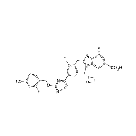 N#Cc1ccc(COc2nccc(-c3ccc(Cc4nc5c(F)cc(C(=O)O)cc5n4C[C@@H]4CCO4)c(F)c3)n2)c(F)c1